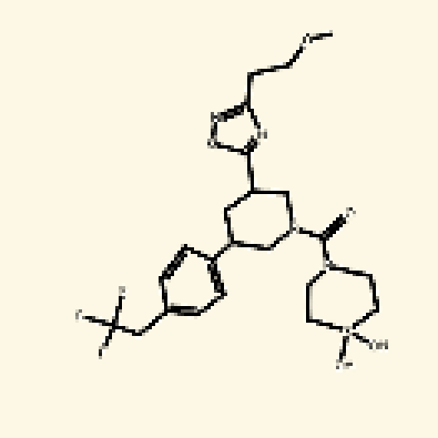 COCCc1noc(C2CC(c3ccc(CC(F)(F)F)cc3)CN(C(=O)N3CCS(O)(O)CC3)C2)n1